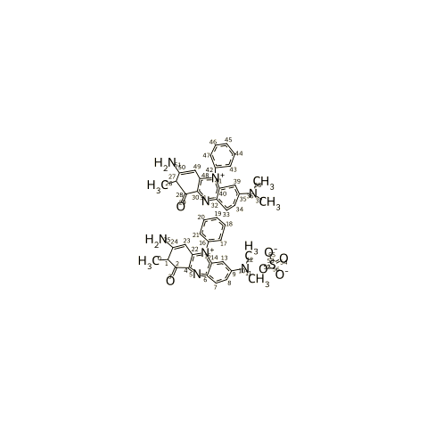 CC1C(=O)c2nc3ccc(N(C)C)cc3[n+](-c3ccccc3)c2C=C1N.CC1C(=O)c2nc3ccc(N(C)C)cc3[n+](-c3ccccc3)c2C=C1N.O=S(=O)([O-])[O-]